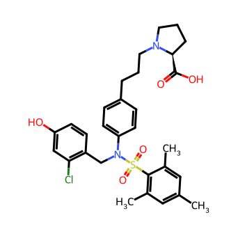 Cc1cc(C)c(S(=O)(=O)N(Cc2ccc(O)cc2Cl)c2ccc(CCCN3CCC[C@H]3C(=O)O)cc2)c(C)c1